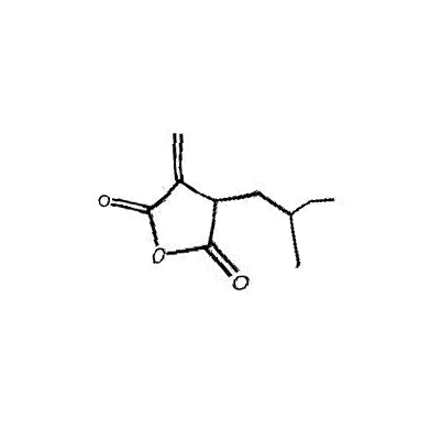 C=C1C(=O)OC(=O)C1CC(C)C